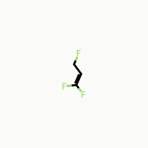 FCC=C(F)F